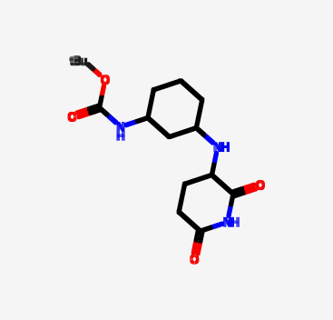 CC(C)(C)OC(=O)NC1CCCC(NC2CCC(=O)NC2=O)C1